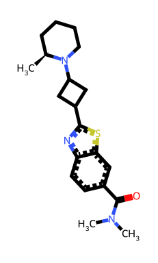 C[C@H]1CCCCN1C1CC(c2nc3ccc(C(=O)N(C)C)cc3s2)C1